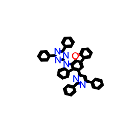 c1ccc(-c2cc(-c3cc4c5ccccc5oc4c4c3c3ccccc3n4-c3nc(-c4ccccc4)nc(-c4ccccc4)n3)nc(-c3ccccc3)n2)cc1